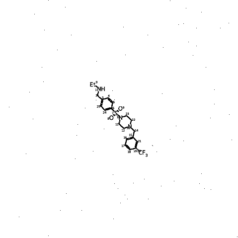 CCNCc1ccc(S(=O)(=O)N2CCN(Cc3cccc(C(F)(F)F)c3)CC2)cc1